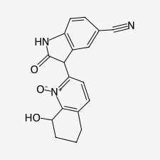 N#Cc1ccc2c(c1)C(c1ccc3c([n+]1[O-])C(O)CCC3)C(=O)N2